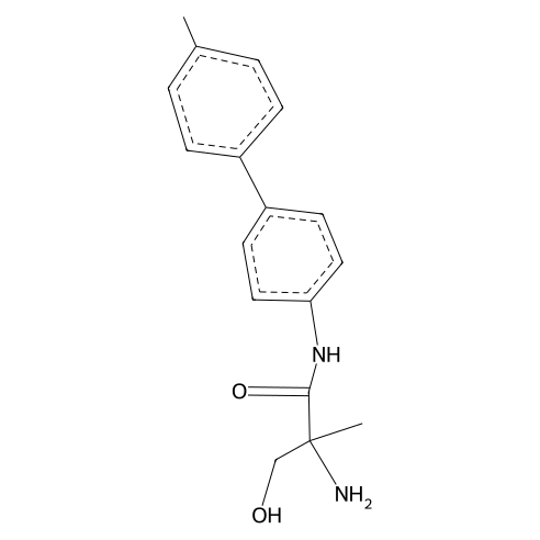 Cc1ccc(-c2ccc(NC(=O)C(C)(N)CO)cc2)cc1